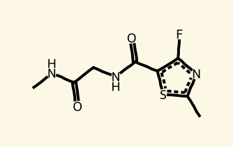 CNC(=O)CNC(=O)c1sc(C)nc1F